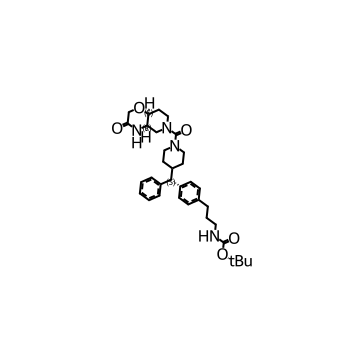 CC(C)(C)OC(=O)NCCCc1ccc([C@H](c2ccccc2)C2CCN(C(=O)N3CC[C@@H]4OCC(=O)N[C@@H]4C3)CC2)cc1